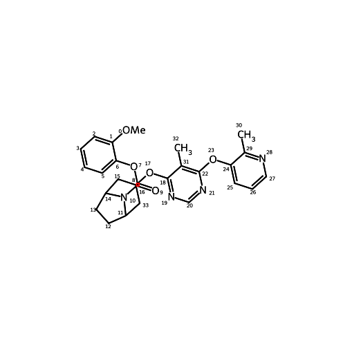 COc1ccccc1OC(=O)N1C2CCC1CC(Oc1ncnc(Oc3cccnc3C)c1C)C2